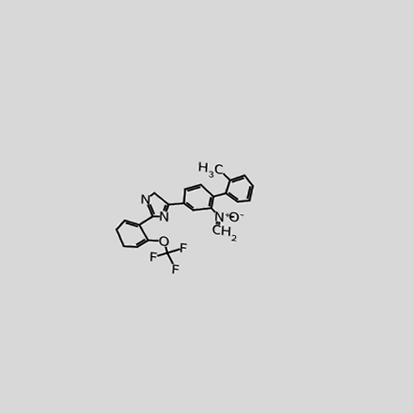 C=[N+]([O-])c1cc(C2=NC(C3=CCCC=C3OC(F)(F)F)=NC2)ccc1-c1ccccc1C